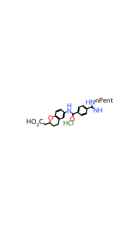 CCCCCNC(=N)c1ccc(C(=O)Nc2ccc3c(c2)CCC(CC(=O)O)O3)cc1.Cl